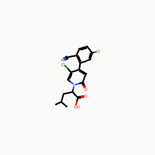 CC(C)CC(C(=O)O)n1cc(Cl)c(-c2cc(Cl)ccc2C#N)cc1=O